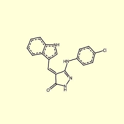 O=C1NN=C(Nc2ccc(Cl)cc2)C1=Cc1c[nH]c2ccccc12